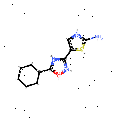 Nc1ncc(-c2noc(C3CCCCC3)n2)s1